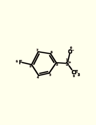 [O-][S+](c1ccc(F)cc1)C(F)(F)F